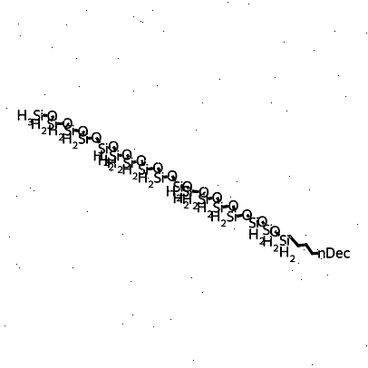 CCCCCCCCCCCCCC[SiH2]O[SiH2]O[SiH2]O[SiH2]O[SiH2]O[SiH2]O[SiH2]O[SiH2]O[SiH2]O[SiH2]O[SiH2]O[SiH2]O[SiH2]O[SiH2]O[SiH2]O[SiH2]O[SiH3]